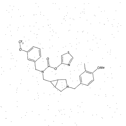 COc1ccc(CN2CC3C(C2)C3CN(Cc2cccc(OC(F)(F)F)c2)C(=O)Oc2cscn2)cc1C